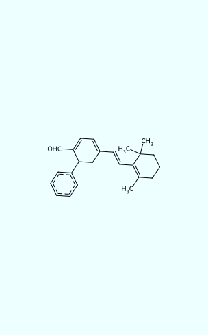 CC1=C(C=CC2=CC=C(C=O)C(c3ccccc3)C2)C(C)(C)CCC1